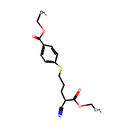 CCOC(=O)c1ccc(SCCCC(C#N)C(=O)OCC)cc1